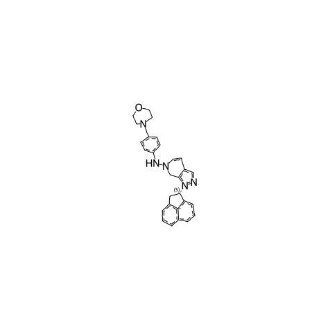 C1=CN(Nc2ccc(N3CCOCC3)cc2)Cc2c1cnn2[C@H]1Cc2cccc3cccc1c23